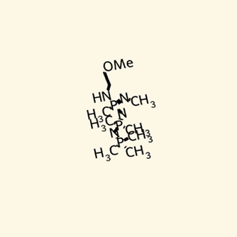 CN=P(C)(N=P(C)(C)N=P(C)(C)C)NCCOC